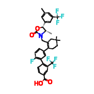 Cc1cc([C@H]2OC(=O)N(CC3=C(c4ccc(F)c(-c5ccc(C(=O)O)cc5C(F)(F)F)c4)CCC(C)(C)C3)[C@H]2C)cc(C(F)(F)F)c1